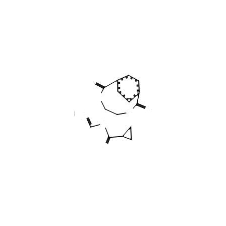 C=COC(=O)C1CC1.O=C1OCCOC(=O)c2ccc1cc2